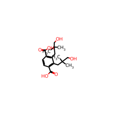 CC(C)(CO)Cc1c(C(=O)O)ccc(C(=O)O)c1CC(C)(C)CO